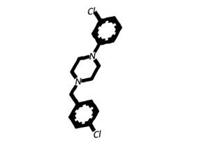 Clc1ccc(CN2CCN(c3cccc(Cl)c3)CC2)cc1